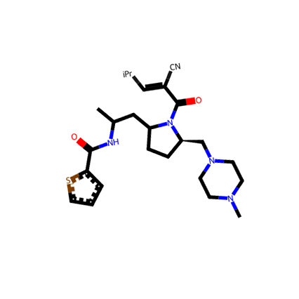 CC(C)C=C(C#N)C(=O)N1C(CC(C)NC(=O)c2cccs2)CC[C@@H]1CN1CCN(C)CC1